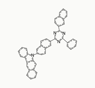 c1ccc(-c2nc(-c3ccc4ccccc4c3)nc(-c3ccc4cc(-n5c6ccccc6c6cc7ccccc7cc65)ccc4c3)n2)cc1